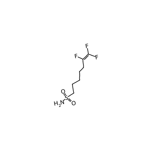 NS(=O)(=O)CCCCCC(F)=C(F)F